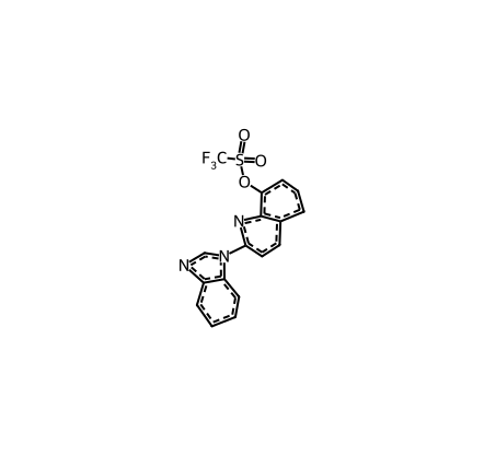 O=S(=O)(Oc1cccc2ccc(-n3cnc4ccccc43)nc12)C(F)(F)F